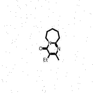 CCc1c(C)nc2n(c1=O)CCCCC2